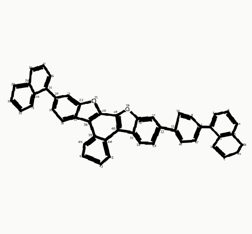 C1=Cc2c(cccc2-c2ccc(-c3ccc4c(c3)oc3c5oc6cc(-c7cccc8ccccc78)ccc6c5c5ccccc5c43)cc2)CC1